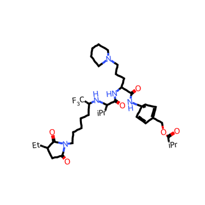 CCC1CC(=O)N(CCCCCC(NC(C(=O)NC(CCCN2CCCCC2)C(=O)Nc2ccc(COC(=O)C(C)C)cc2)C(C)C)C(F)(F)F)C1=O